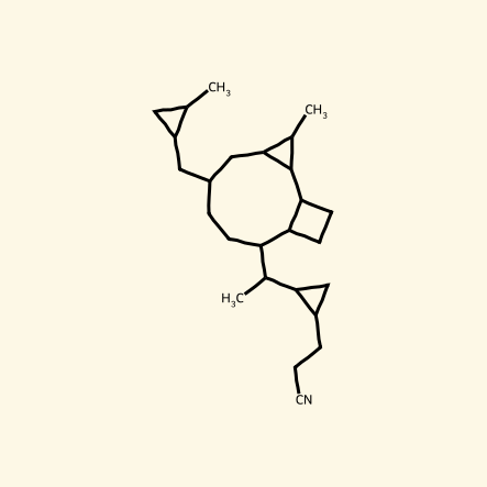 CC1CC1CC1CCC(C(C)C2CC2CCC#N)C2CCC2C2C(C)C2C1